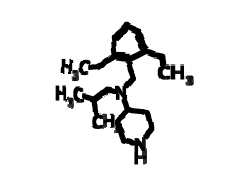 CCc1cccc(CC)c1CN(CC(C)C)C1CCNCC1